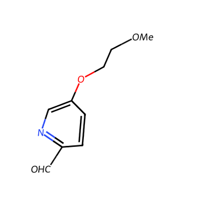 COCCOc1ccc(C=O)nc1